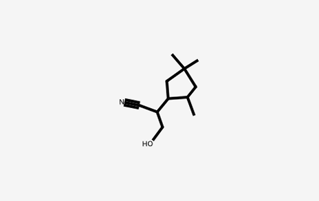 CC1CC(C)(C)CC1C(C#N)CO